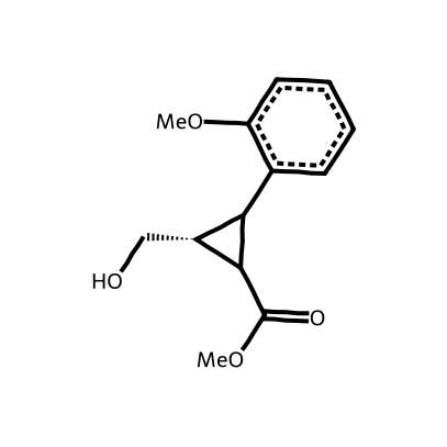 COC(=O)C1C(c2ccccc2OC)[C@H]1CO